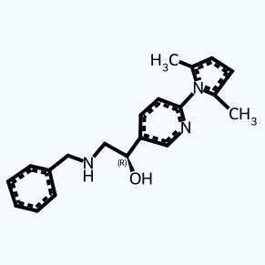 Cc1ccc(C)n1-c1ccc([C@@H](O)CNCc2ccccc2)cn1